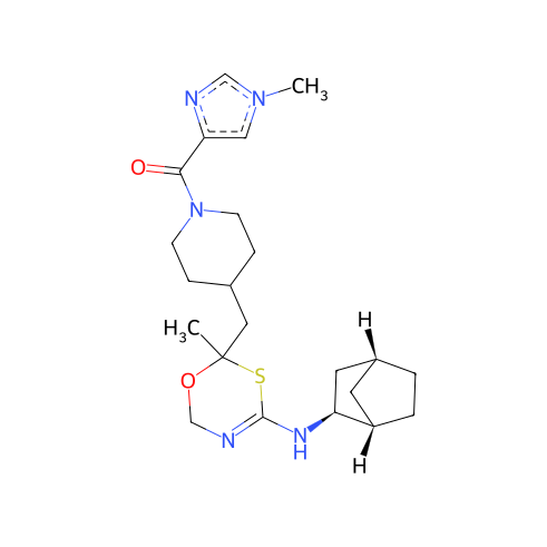 Cn1cnc(C(=O)N2CCC(CC3(C)OCN=C(N[C@H]4C[C@@H]5CC[C@H]4C5)S3)CC2)c1